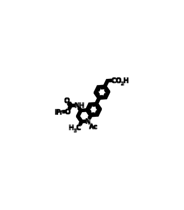 CC(=O)N1c2ccc(-c3ccc(CC(=O)O)cc3)cc2C(NC(=O)OC(C)C)CC1C